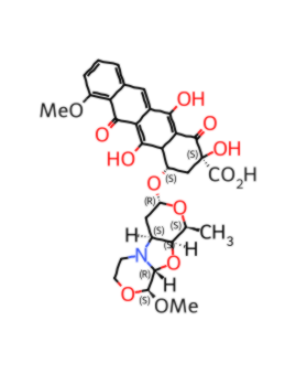 COc1cccc2c1C(=O)C1=C(O)C3C(=C(O)C1=C2)C(=O)[C@](O)(C(=O)O)C[C@@H]3O[C@H]1C[C@H]2[C@H](O[C@@H]3[C@@H](OC)OCCN32)[C@H](C)O1